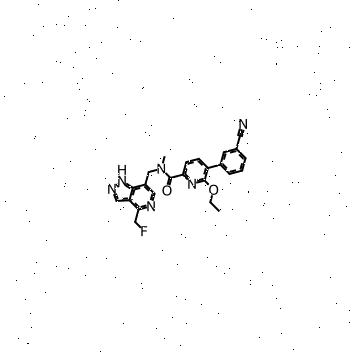 CCOc1nc(C(=O)N(C)Cc2cnc(CF)c3cn[nH]c23)ccc1-c1cccc(C#N)c1